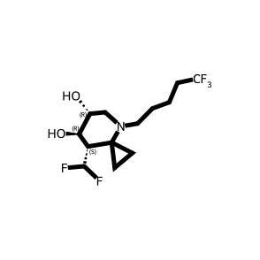 O[C@H]1[C@H](O)CN(CCCCC(F)(F)F)C2(CC2)[C@@H]1C(F)F